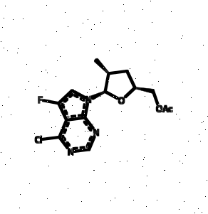 CC(=O)OC[C@@H]1C[C@H](C)[C@H](n2cc(F)c3c(Cl)ncnc32)O1